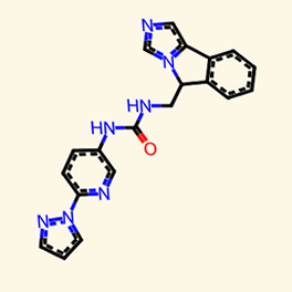 O=C(NCC1c2ccccc2-c2cncn21)Nc1ccc(-n2cccn2)nc1